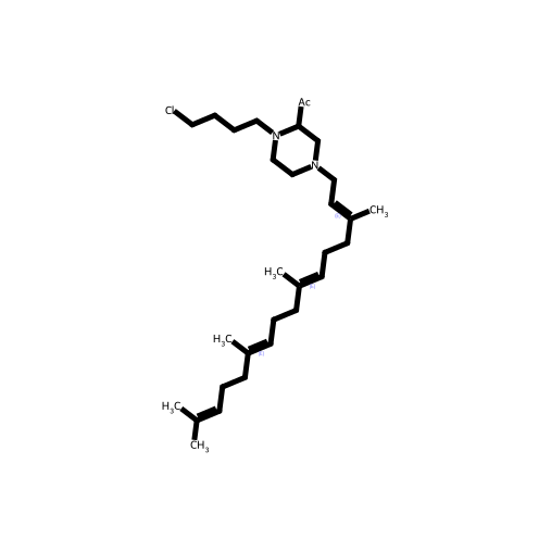 CC(=O)C1CN(C/C=C(\C)CC/C=C(\C)CC/C=C(\C)CCC=C(C)C)CCN1CCCCCl